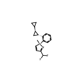 C[N+]1(c2ccccc2[C@@H]2C[C@H]2C2CC2)C=CC(C(F)F)=N1